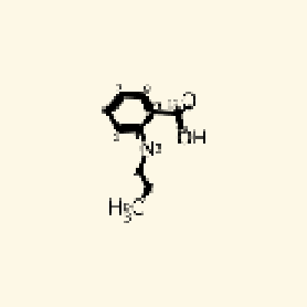 CCC[N]c1ccccc1C(=O)O